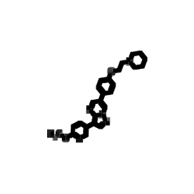 COc1ccc(-c2cnn3cc(-c4ccc(OCCN5CCCCC5)cc4)cnc23)cn1